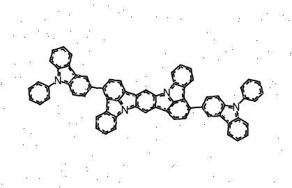 c1ccc(-n2c3ccccc3c3cc(-c4ccc5c6cc7c(cc6n6c8ccccc8c4c56)c4ccc(-c5ccc6c(c5)c5ccccc5n6-c5ccccc5)c5c6ccccc6n7c45)ccc32)cc1